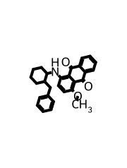 COc1ccc(NC2CCCCC2Cc2ccccc2)c2c1C(=O)c1ccccc1C2=O